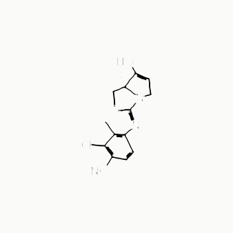 Cc1c(/N=C2\OC[C@@]3(C)C(O)=CCN23)ccc(C#N)c1Cl